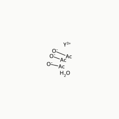 CC(=O)[O-].CC(=O)[O-].CC(=O)[O-].O.[Y+3]